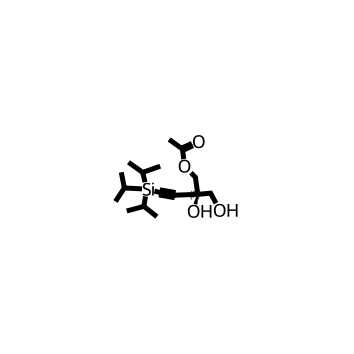 CC(=O)OC[C@@](O)(C#C[Si](C(C)C)(C(C)C)C(C)C)CO